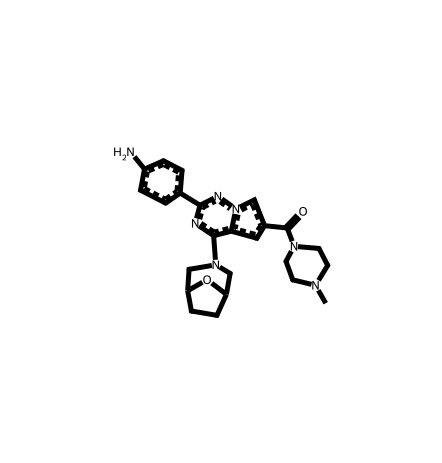 CN1CCN(C(=O)c2cc3c(N4CC5CCC(C4)O5)nc(-c4ccc(N)cc4)nn3c2)CC1